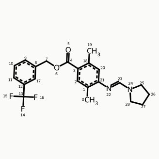 Cc1cc(C(=O)OCc2cccc(C(F)(F)F)c2)c(C)cc1/N=C/N1CCCC1